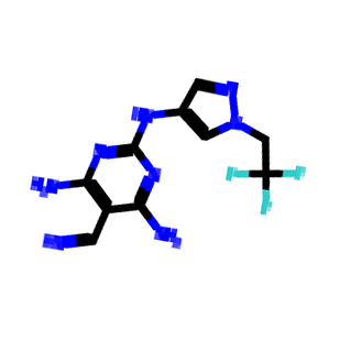 N=Cc1c(N)nc(Nc2cnn(CC(F)(F)F)c2)nc1N